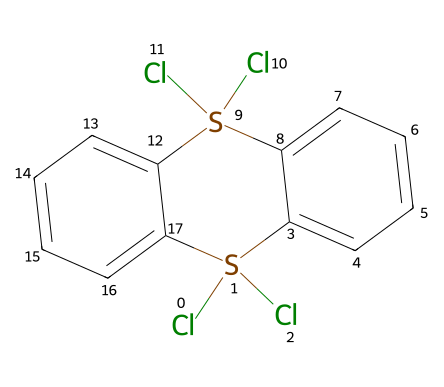 ClS1(Cl)c2ccccc2S(Cl)(Cl)c2ccccc21